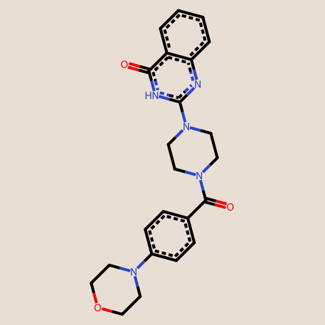 O=C(c1ccc(N2CCOCC2)cc1)N1CCN(c2nc3ccccc3c(=O)[nH]2)CC1